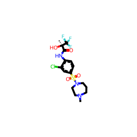 CN1CCCN(S(=O)(=O)c2ccc(NC(=O)[C@@](C)(O)C(F)(F)F)c(Cl)c2)CC1